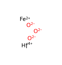 [Fe+2].[Hf+4].[O-2].[O-2].[O-2]